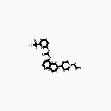 O=C(Nc1cccc(C(F)(F)F)n1)Nc1ccnc2ccc(C3CCN(CCF)CC3)cc12